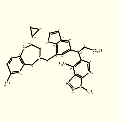 CCOC(=O)C[C@H](c1cc(CN2Cc3nc(O)ccc3O[C@H](C3CC3)C2)c2sccc2c1)c1cnc2c(nnn2C)c1C